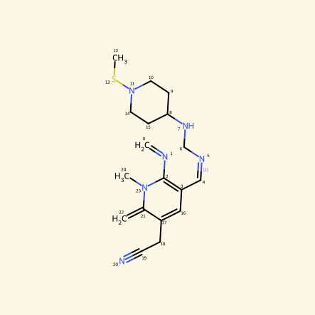 C=NC1=C(/C=N\CNC2CCN(SC)CC2)C=C(CC#N)C(=C)N1C